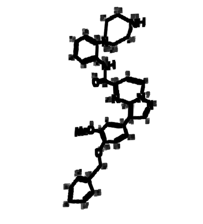 COc1cc(-c2cnn3ccc(C(=O)Nc4ccccc4N4CCNCC4)nc23)ccc1OCc1ccccc1